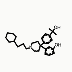 CC(C)(O)c1ccc(C2(c3cccc(O)c3)CCN(CCCC3CCCCC3)CC2)cc1